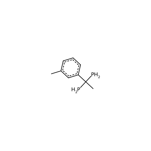 Cc1cccc(C(C)(P)P)c1